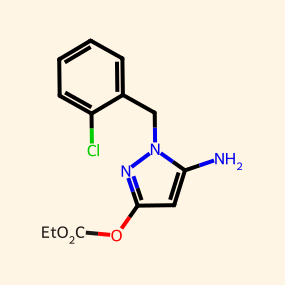 CCOC(=O)Oc1cc(N)n(Cc2ccccc2Cl)n1